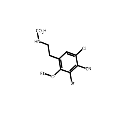 CCOc1c(CCNC(=O)O)cc(Cl)c(C#N)c1Br